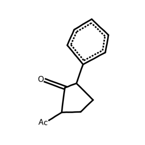 CC(=O)C1CCC(c2ccccc2)C1=O